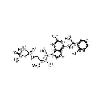 CO[C@H](COP(=O)(O)CP(=O)(O)O)[C@@H](O)[C@@H](O)n1ccc2c(N[C@@H](C)c3ccccc3F)nc(Cl)nc21